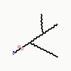 CCCCCCCCCCCCCCCCCC/C(=C\CCCCOC(=O)CCCN(C)C)CCCCCCCCC(CCCCCCCCCC)CCCCCCCCCCC